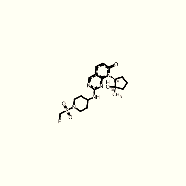 C[C@]1(O)CCC[C@@H]1n1c(=O)ccc2cnc(NC3CCN(S(=O)(=O)CF)CC3)nc21